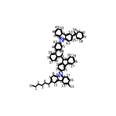 CCCCCCc1ccc2c(c1)c1cc(C)ccc1n2-c1ccc2c(c1)-c1ccccc1C2C(C)c1ccccc1-c1ccc(-n2c3ccccc3c3cc(C4(C)C=CC=CC4)ccc32)cc1